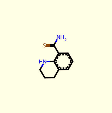 NC(=S)c1cccc2c1NCCC2